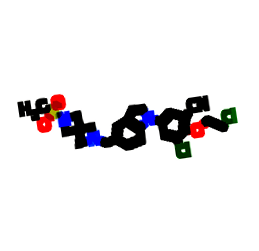 CS(=O)(=O)N1CC2(CN(Cc3ccc4c(ccn4-c4cc(Cl)c(OCCCl)c(C#N)c4)c3)C2)C1